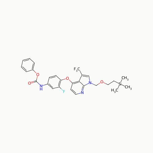 C[Si](C)(C)CCOCn1cc(C(F)(F)F)c2c(Oc3ccc(NC(=O)Oc4ccccc4)cc3F)ccnc21